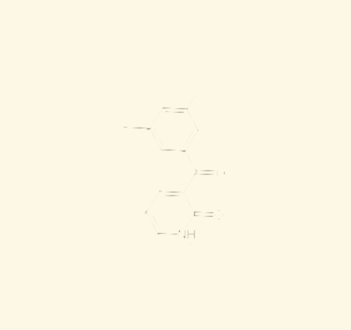 O=C(c1cc(F)cc(F)c1)c1ccc[nH]c1=O